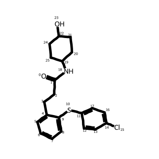 O=C(CCc1ccccc1Sc1ccc(Cl)cc1)NC1CCC(O)CC1